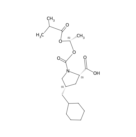 CC(C)C(=O)O[C@H](C)OC(=O)N1C[C@@H](CC2CCCCC2)C[C@H]1C(=O)O